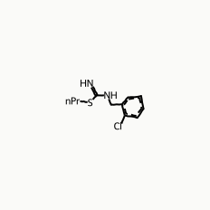 CCCSC(=N)NCc1ccccc1Cl